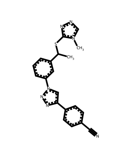 CC(Sc1nncn1C)c1cccc(-n2cc(-c3ccc(C#N)cc3)nn2)c1